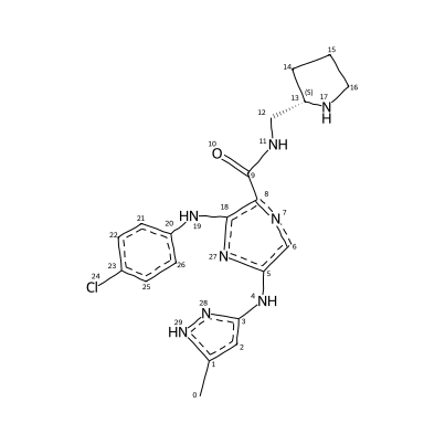 Cc1cc(Nc2cnc(C(=O)NC[C@@H]3CCCN3)c(Nc3ccc(Cl)cc3)n2)n[nH]1